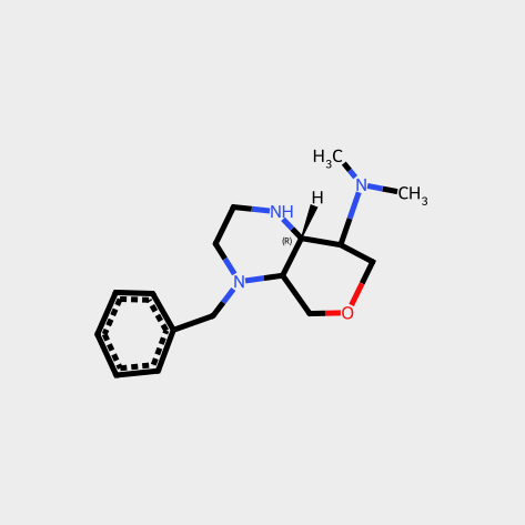 CN(C)C1COCC2[C@@H]1NCCN2Cc1ccccc1